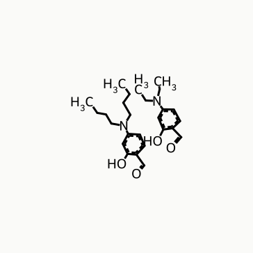 CCCCN(CCCC)c1ccc(C=O)c(O)c1.CCN(CC)c1ccc(C=O)c(O)c1